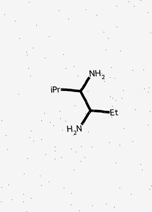 CCC(N)C(N)C(C)C